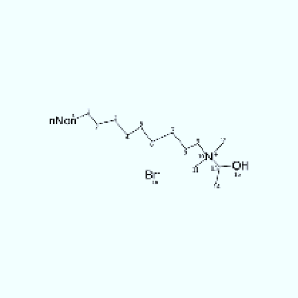 CCCCCCCCCCCCCCCCCC[N+](C)(C)C(C)O.[Br-]